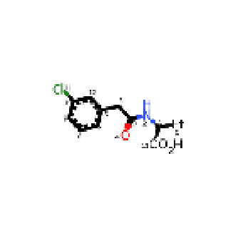 CCC(NC(=O)Cc1cccc(Cl)c1)C(=O)O